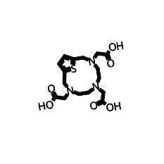 O=C(O)CN1CCN(CC(=O)O)Cc2ccc(s2)CN(CC(=O)O)CC1